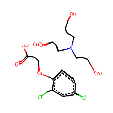 O=C(O)COc1ccc(Cl)cc1Cl.OCCN(CCO)CCO